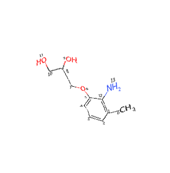 Cc1cccc(OCC(O)CO)c1N